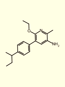 CCOc1nc(C)c(N)cc1-c1ccc(C(C)CC)cc1